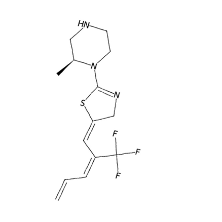 C=C/C=C(\C=C1/CN=C(N2CCNC[C@@H]2C)S1)C(F)(F)F